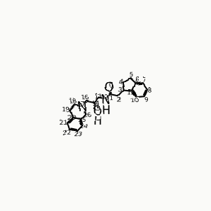 O=C(CC1CCc2ccccc21)NCC(O)CN1CCc2ccccc2C1